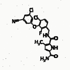 Cc1cc(C(N)=O)[nH]c1C(=O)NCc1ccc(Cl)c(Oc2cc(Cl)cc(C#N)c2)c1F